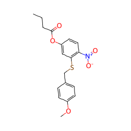 CCCC(=O)Oc1ccc([N+](=O)[O-])c(SCc2ccc(OC)cc2)c1